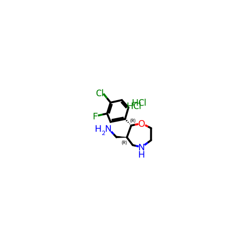 Cl.Cl.NC[C@@H]1CNCCO[C@H]1c1ccc(Cl)c(F)c1